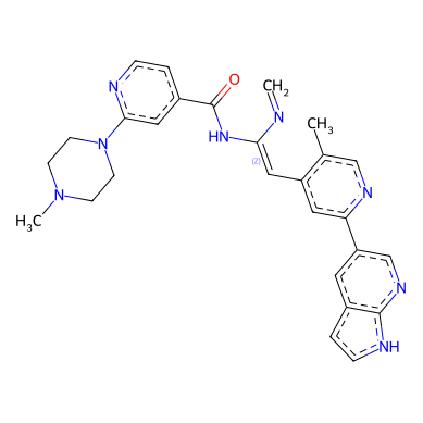 C=N/C(=C\c1cc(-c2cnc3[nH]ccc3c2)ncc1C)NC(=O)c1ccnc(N2CCN(C)CC2)c1